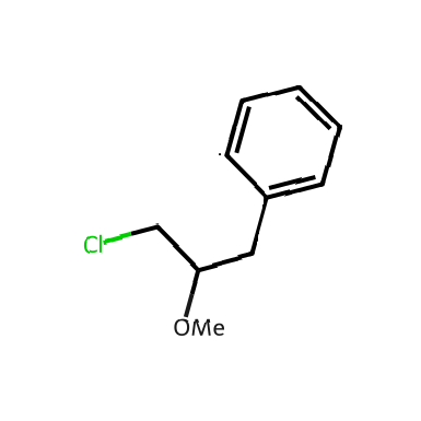 COC(CCl)Cc1[c]cccc1